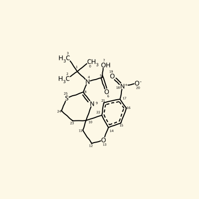 CC(C)(C)N(C(=O)O)C1=NC2(CCOc3ccc([N+](=O)[O-])cc32)CCS1